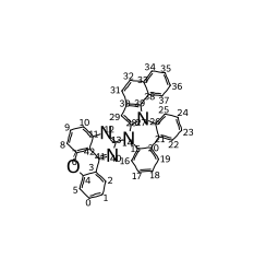 c1ccc2c(c1)Oc1cccc3nc(N4c5ccccc5-c5ccccc5-n5c4cc4ccc6ccccc6c45)nc-2c13